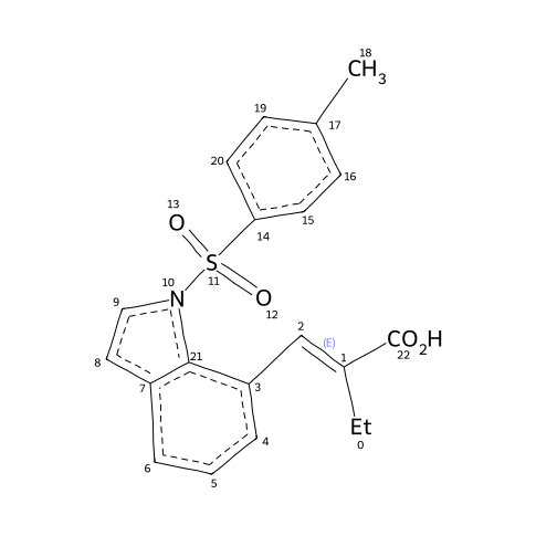 CC/C(=C\c1cccc2ccn(S(=O)(=O)c3ccc(C)cc3)c12)C(=O)O